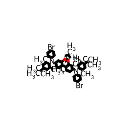 Cc1cc(C(C)(C)C)cc(C)c1N(c1ccc(Br)cc1)c1ccc2c(c1)[C@]13C[C@@H](C)C[C@]1(C[C@H](C)C3)c1cc(N(c3ccc(Br)cc3)c3c(C)cc(C(C)(C)C)cc3C)ccc1-2